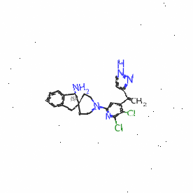 C=C(c1cc[nH]n1)c1cc(N2CCC3(CC2)Cc2ccccc2[C@H]3N)nc(Cl)c1Cl